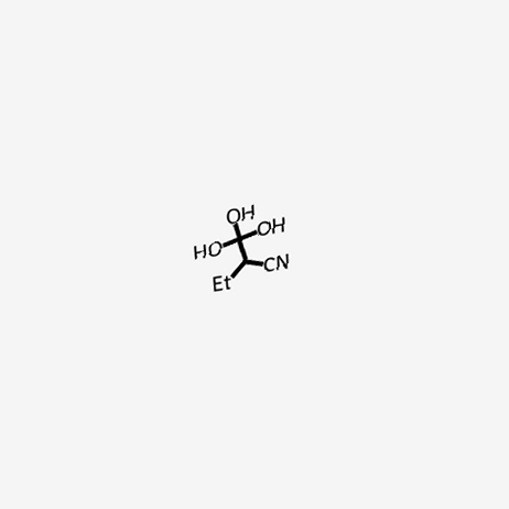 CCC(C#N)C(O)(O)O